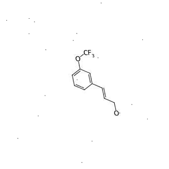 [O]CC=Cc1cccc(OC(F)(F)F)c1